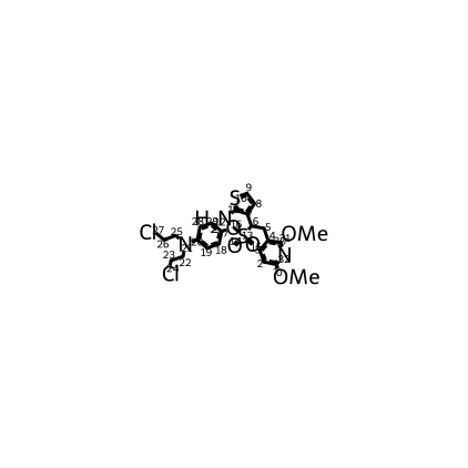 COc1ccc(CC(c2ccsc2N)S(=O)(=O)Oc2ccc(N(CCCl)CCCl)cc2)c(OC)n1